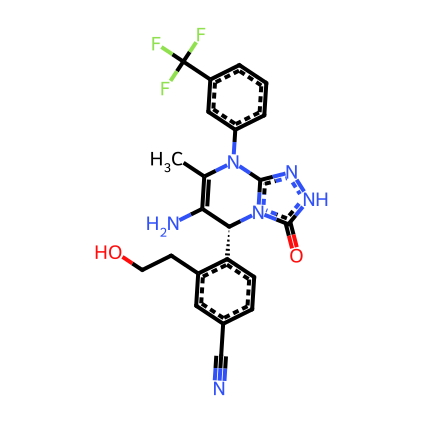 CC1=C(N)[C@@H](c2ccc(C#N)cc2CCO)n2c(n[nH]c2=O)N1c1cccc(C(F)(F)F)c1